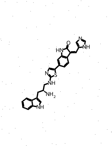 N[C@H](CNc1ncc(-c2ccc3c(c2)NC(=O)C3=Cc2cnc[nH]2)s1)Cc1c[nH]c2ccccc12